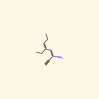 C#C/C(N)=C\C(=C/CC)CC